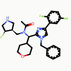 CC(=O)N(C[C@@H]1CNC[C@@H]1F)[C@@H](c1nc(-c2cc(F)ccc2F)cn1Cc1ccccc1)C1CCOCC1